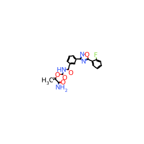 C[C@@H](OC(=O)NC(=O)c1cccc(-c2noc(-c3ccccc3F)n2)c1)C(N)=O